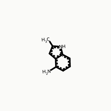 Cc1cc2c(N)cccc2[nH]1